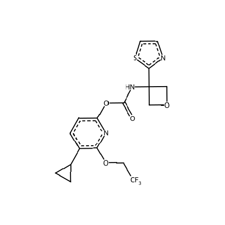 O=C(NC1(c2nccs2)COC1)Oc1ccc(C2CC2)c(OCC(F)(F)F)n1